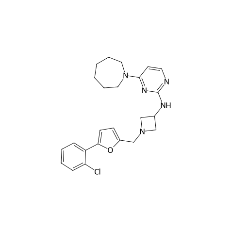 Clc1ccccc1-c1ccc(CN2CC(Nc3nccc(N4CCCCCC4)n3)C2)o1